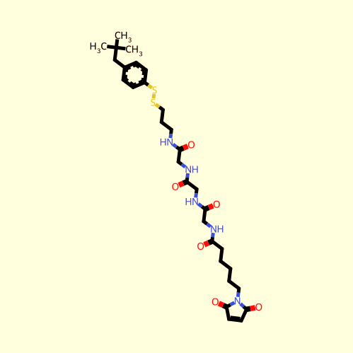 CC(C)(C)Cc1ccc(SSCCCNC(=O)CNC(=O)CNC(=O)CNC(=O)CCCCCN2C(=O)C=CC2=O)cc1